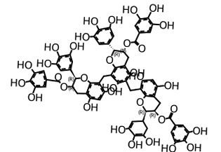 O=C(O[C@@H]1Cc2c(O)cc(O)c(Cc3c(O)c(Cc4c(O)cc(O)c5c4O[C@H](C4C=C(O)C(O)=C(O)C4)[C@H](OC(=O)c4cc(O)c(O)c(O)c4)C5)c(O)c4c3O[C@H](c3cc(O)c(O)c(O)c3)[C@H](OC(=O)c3cc(O)c(O)c(O)c3)C4)c2O[C@@H]1c1cc(O)c(O)c(O)c1)c1cc(O)c(O)c(O)c1